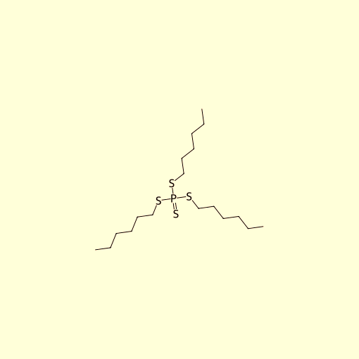 CCCCCCSP(=S)(SCCCCCC)SCCCCCC